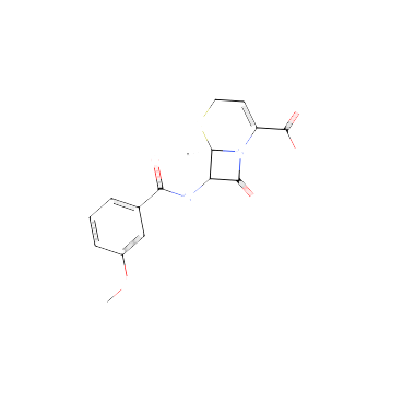 COc1cccc(C(=O)NC2C(=O)N3C(C(=O)O)=CCS[C@H]23)c1